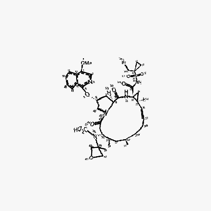 COc1cnc(O[C@@H]2C[C@H]3C(=O)N[C@]4(C(=O)NS(=O)(=O)C5(CF)CC5)C[C@H]4C=CCC[C@@H](C)C[C@@H](C)[C@H](N(C(=O)O)C4(C)COC4)C(=O)N3C2)c2ccccc12